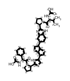 CC(C)[C@@H](NC(=O)O)C(=O)N1CCCC1c1nc2cc(-c3csc4c(-c5cnc(C6CCCN6C(=O)[C@H](NC(=O)O)c6ccccc6)[nH]5)csc34)ccc2[nH]1